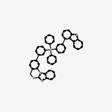 c1ccc([Si](c2ccccc2)(c2cccc(-c3ccc4c(c3)-n3c(nc5ccccc53)SC4)c2)c2cccc(-c3cccc4sc5ccccc5c34)c2)cc1